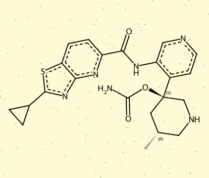 C[C@H]1CNC[C@@](OC(N)=O)(c2ccncc2NC(=O)c2ccc3sc(C4CC4)nc3n2)C1